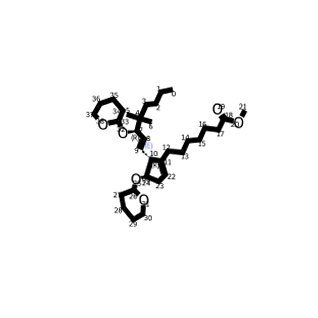 CCCCC(C)(C)[C@@H](/C=C/[C@@H]1C(CCCCCCC(=O)OC)=CC[C@H]1OC1CCCCO1)OC1CCCCO1